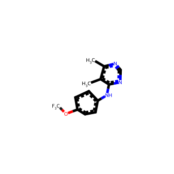 Cc1ncnc(Nc2ccc(OC(F)(F)F)cc2)c1C